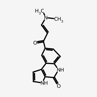 CN(C)C=CC(=O)c1ccc2[nH]c(=O)c3[nH]ccc3c2c1